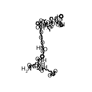 CC[C@H](C)[C@@H]([C@@H](CC(=O)N1CCC[C@H]1C(OC)[C@@H](C)C(=O)N[C@@H](Cc1ccccc1)c1nccs1)OC)N(C)C(=O)[C@@H](NC(=O)C1(NC(=O)CCOCCOCCOCCNC(=O)OCc2ccc(NC(=O)[C@H](CCCNC(N)=O)NC(=O)[C@@H](NC(=O)CCCCCN3C(=O)C=CC3=O)C(C)C)cc2)CCCC1)C(C)C